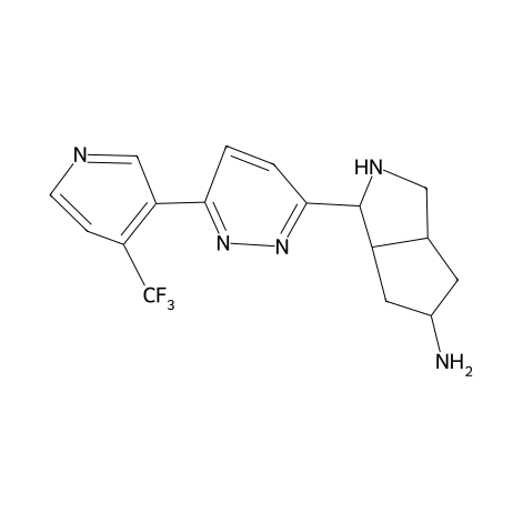 NC1CC2CNC(c3ccc(-c4cnccc4C(F)(F)F)nn3)C2C1